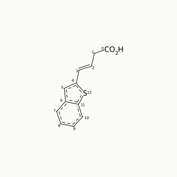 O=C(O)CC=Cc1cc2ccccc2s1